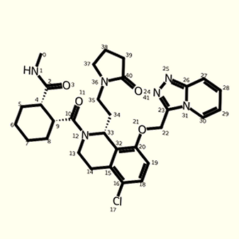 CNC(=O)[C@H]1CCCC[C@H]1C(=O)N1CCc2c(Cl)ccc(OCc3nnc4ccccn34)c2[C@H]1CCN1CCCC1=O